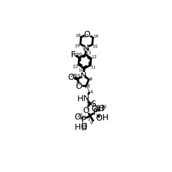 CC(OC(=S)NC[C@H]1CN(c2ccc(N3CCOCC3)c(F)c2)C(=O)O1)([PH](=O)O)P(=O)(O)O